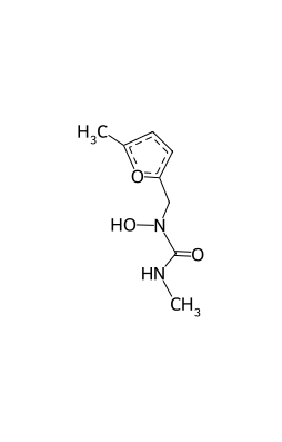 CNC(=O)N(O)Cc1ccc(C)o1